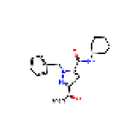 CNC(=O)c1cc(C(=O)NC2CCCCC2)n(Cc2ccccc2)n1